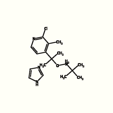 Cc1c(C(C)(C)O[SiH2]C(C)(C)C)ccnc1Cl.c1c[nH]cn1